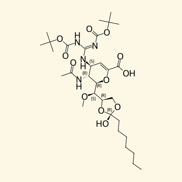 CCCCCCC[C@@]1(O)OC[C@H]([C@@H](OC)[C@@H]2OC(C(=O)O)=C[C@H](NC(=NC(=O)OC(C)(C)C)NC(=O)OC(C)(C)C)[C@H]2NC(C)=O)O1